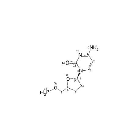 Nc1ccn([C@H]2CCC(COP)O2)c(=O)n1